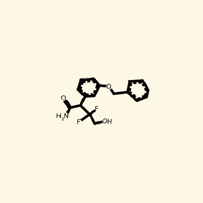 NC(=O)[C](c1cccc(OCc2ccccc2)c1)C(F)(F)CO